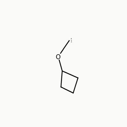 [C]OC1CCC1